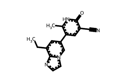 CCc1cc(-c2cc(C#N)c(=O)[nH]c2C)cn2ccnc12